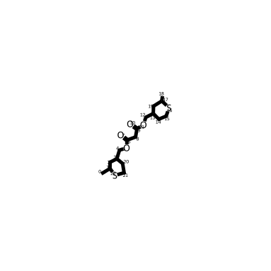 CC1CC(COC(=O)CC(=O)OCC2CCSC(C)C2)CCS1